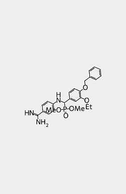 CCOc1cc(C(Nc2ccc(C(=N)N)cc2)P(=O)(OC)OC)ccc1OCc1ccccc1